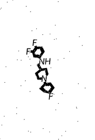 Fc1ccc(N2CCC(CNc3ccc(F)c(F)c3)CC2)cc1